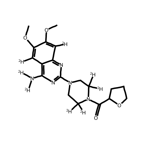 [2H]c1c(OC)c(OC)c([2H])c2c(N([2H])[2H])nc(N3CC([2H])([2H])N(C(=O)C4CCCO4)C([2H])([2H])C3)nc12